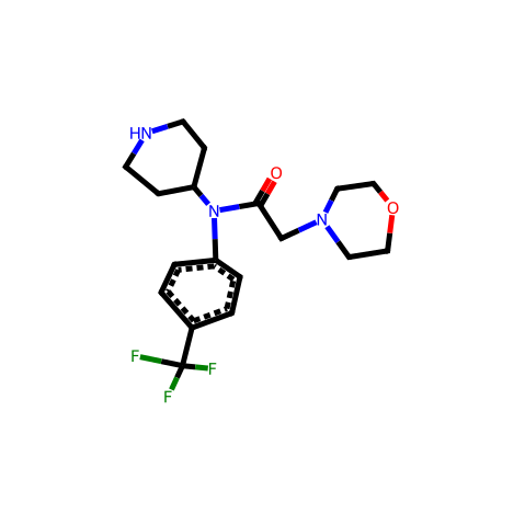 O=C(CN1CCOCC1)N(c1ccc(C(F)(F)F)cc1)C1CCNCC1